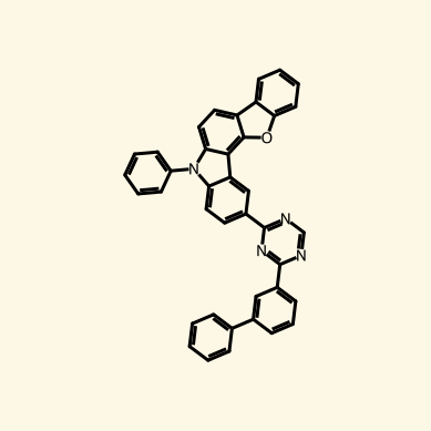 c1ccc(-c2cccc(-c3ncnc(-c4ccc5c(c4)c4c6oc7ccccc7c6ccc4n5-c4ccccc4)n3)c2)cc1